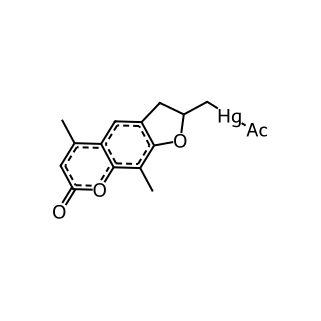 C[C](=O)[Hg][CH2]C1Cc2cc3c(C)cc(=O)oc3c(C)c2O1